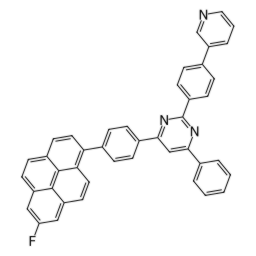 Fc1cc2ccc3ccc(-c4ccc(-c5cc(-c6ccccc6)nc(-c6ccc(-c7cccnc7)cc6)n5)cc4)c4ccc(c1)c2c34